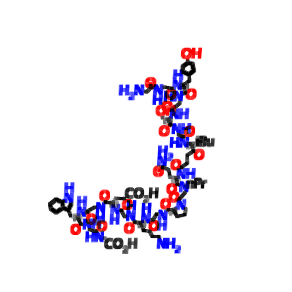 CCCN(CC(=O)N1CCC[C@H]1C(=O)NCC(=O)N[C@@H](CCCCN)C(=O)NCC(=O)N[C@@H](CCC(=O)O)C(=O)NCC(=O)N[C@@H](Cc1c[nH]c2ccccc12)C(=O)NCC(=O)NCC(=O)O)C(=O)[C@H](CCC(N)=O)NC(=O)CCC(=O)[C@@H](NC(=O)CNC(=O)[C@H](CO)NC(=O)CNC(=O)[C@H](Cc1ccc(O)cc1)NC(=O)CNC(=O)CN)[C@@H](C)CC